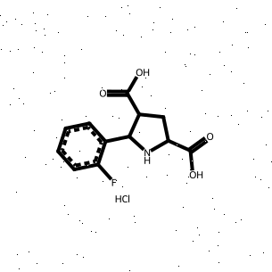 Cl.O=C(O)C1CC(C(=O)O)C(c2ccccc2F)N1